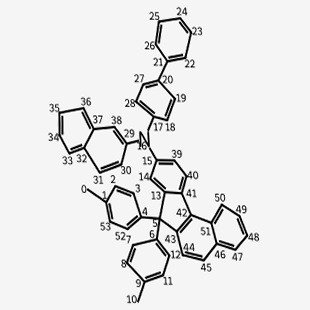 Cc1ccc(C2(c3ccc(C)cc3)c3cc(N(c4ccc(-c5ccccc5)cc4)c4ccc5ccccc5c4)ccc3-c3c2ccc2ccccc32)cc1